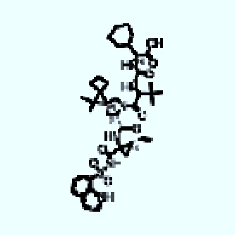 C=C[C@@H]1C[C@]1(NC(=O)[C@@H]1C[C@@]2(CN1C(=O)C(NC(=O)N[C@H](C(=O)O)C1CCCCC1)C(C)(C)C)C(C)(C)C21CCC1)C(=O)NS(=O)(=O)c1cccc2cc[nH]c12